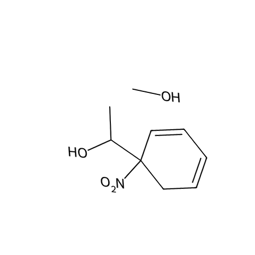 CC(O)C1([N+](=O)[O-])C=CC=CC1.CO